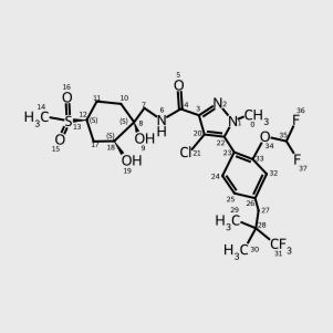 Cn1nc(C(=O)NC[C@@]2(O)CC[C@H](S(C)(=O)=O)C[C@@H]2O)c(Cl)c1-c1ccc(CC(C)(C)C(F)(F)F)cc1OC(F)F